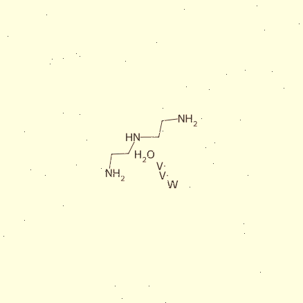 NCCNCCN.O.[V].[V].[W]